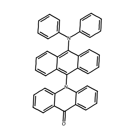 O=c1c2ccccc2n(-c2c3ccccc3c(N(c3ccccc3)c3ccccc3)c3ccccc23)c2ccccc12